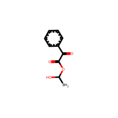 BC(O)OC(=O)C(=O)c1ccccc1